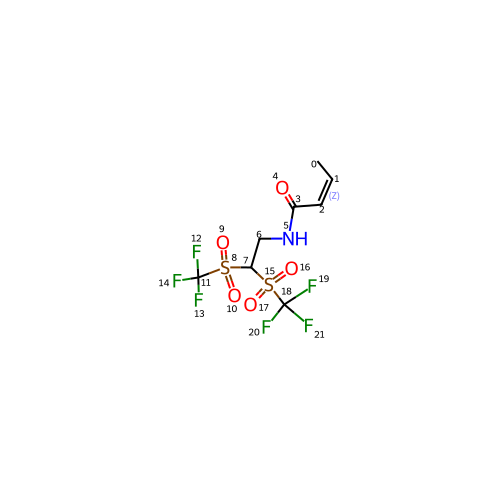 C/C=C\C(=O)NCC(S(=O)(=O)C(F)(F)F)S(=O)(=O)C(F)(F)F